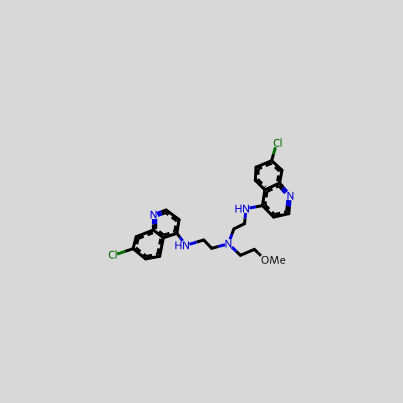 COCCN(CCNc1ccnc2cc(Cl)ccc12)CCNc1ccnc2cc(Cl)ccc12